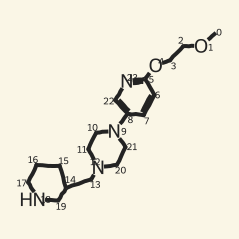 COCCOc1ccc(N2CCN(CC3CCCNC3)CC2)cn1